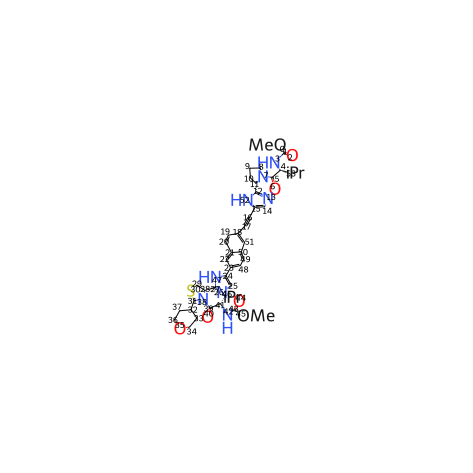 COC(=O)N[C@H](C(=O)N1CCC[C@H]1c1ncc(C#Cc2ccc3cc(-c4cnc([C@@H]5CSC(C6CCOCC6)N5C(=O)[C@@H](NC(=O)OC)C(C)C)[nH]4)ccc3c2)[nH]1)C(C)C